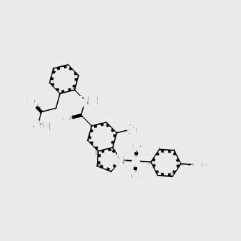 Cc1ccc(S(=O)(=O)n2ccc3cc(C(=O)Nc4ccccc4CC(=O)O)cc(Br)c32)cc1